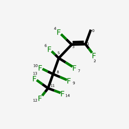 CC(F)=C(F)C(F)(F)C(F)(F)C(F)(F)F